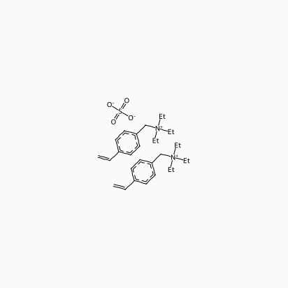 C=Cc1ccc(C[N+](CC)(CC)CC)cc1.C=Cc1ccc(C[N+](CC)(CC)CC)cc1.O=S(=O)([O-])[O-]